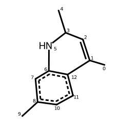 CC1=CC(C)Nc2cc(C)ccc21